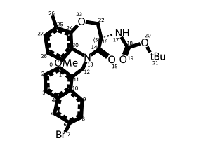 COc1ccc2cc(Br)ccc2c1CN1C(=O)[C@@H](NC(=O)OC(C)(C)C)COc2c(C)cccc21